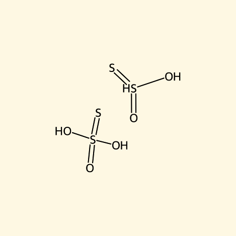 O=S(O)(O)=S.O=[SH](O)=S